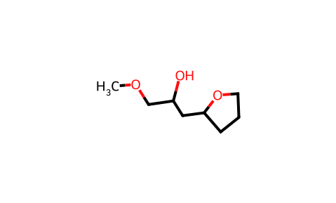 COCC(O)CC1CCCO1